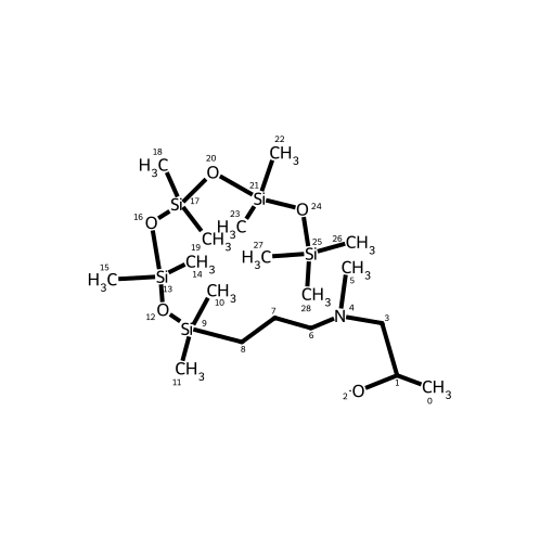 CC([O])CN(C)CCC[Si](C)(C)O[Si](C)(C)O[Si](C)(C)O[Si](C)(C)O[Si](C)(C)C